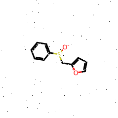 [O-][S+](Cc1ccco1)c1ccccc1